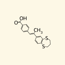 CC(=Cc1ccc(C(=O)O)cc1)c1ccc2c(c1)SCCCS2